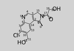 C[C@H]1c2c(cnc3cc(Cl)c(CO)cc23)CN1C(=O)CO